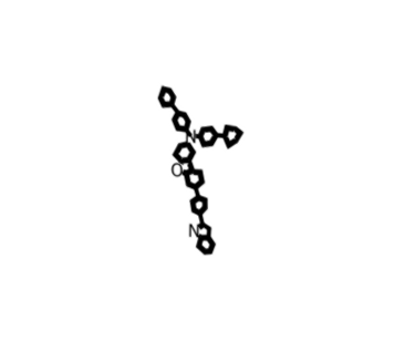 c1ccc(-c2ccc(N(c3ccc(-c4ccccc4)cc3)c3ccc4oc5cc(-c6ccc(C7=Nc8ccccc8C7)cc6)ccc5c4c3)cc2)cc1